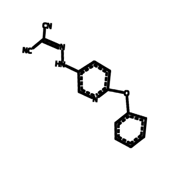 N#CC(C#N)=NNc1ccc(Oc2ccccc2)nc1